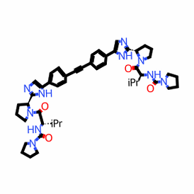 CC(C)[C@H](NC(=O)N1CCCC1)C(=O)N1CCC[C@H]1c1ncc(-c2ccc(C#Cc3ccc(-c4cnc([C@@H]5CCCN5C(=O)[C@@H](NC(=O)N5CCCC5)C(C)C)[nH]4)cc3)cc2)[nH]1